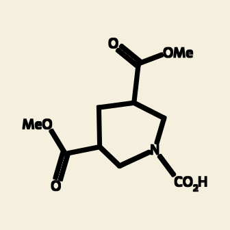 COC(=O)C1CC(C(=O)OC)CN(C(=O)O)C1